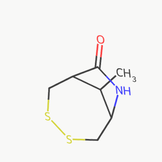 CC1C2CSSCC1C(=O)N2